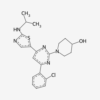 CC(C)Nc1ncc(-c2cc(-c3ccccc3Cl)nc(N3CCC(O)CC3)n2)s1